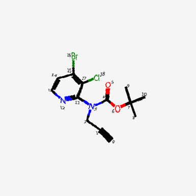 C#CCN(C(=O)OC(C)(C)C)c1nccc(Br)c1Cl